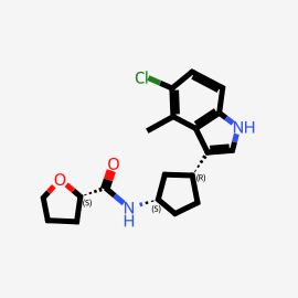 Cc1c(Cl)ccc2[nH]cc([C@@H]3CC[C@H](NC(=O)[C@@H]4CCCO4)C3)c12